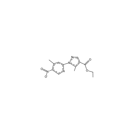 CCOC(=O)c1cnn(-c2cc(C)c([N+](=O)[O-])cn2)c1C